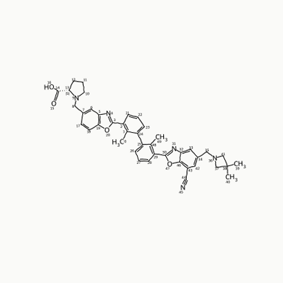 Cc1c(-c2nc3cc(CN4CCC[C@H]4C(=O)O)ccc3o2)cccc1-c1cccc(-c2nc3cc(CN4CC(C)(C)C4)cc(C#N)c3o2)c1C